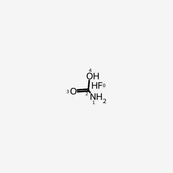 F.NC(=O)O